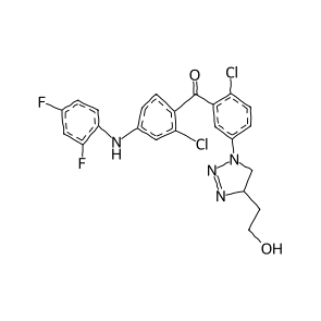 O=C(c1ccc(Nc2ccc(F)cc2F)cc1Cl)c1cc(N2CC(CCO)N=N2)ccc1Cl